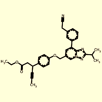 CC#CC(CC(=O)OCC)c1ccc(OCc2cc(-c3cccc(CC#N)c3)c3nc(C(C)C)nn3c2)cc1